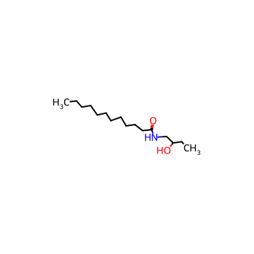 CCCCCCCCCCCC(=O)NCC(O)CC